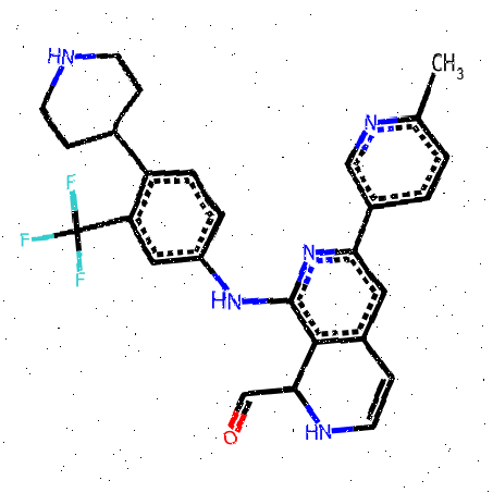 Cc1ccc(-c2cc3c(c(Nc4ccc(C5CCNCC5)c(C(F)(F)F)c4)n2)C(C=O)NC=C3)cn1